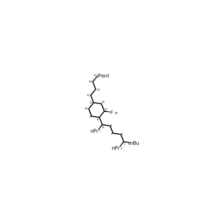 CCCCC(CCC)CCCC(CCC)C1CCC(CCCC(C)CCC)CC1F